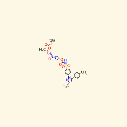 Cc1ccc(-c2cc(C(F)(F)F)nn2-c2ccc(S(=O)(=O)NC(=O)OC3CN(/[N+]([O-])=N/OC(C)OC(=O)OC(C)(C)C)C3)cc2)cc1